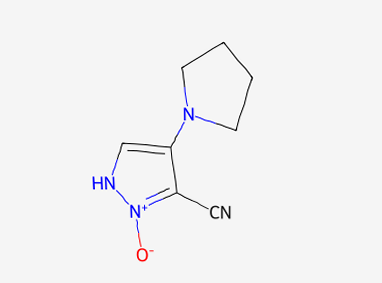 N#Cc1c(N2CCCC2)c[nH][n+]1[O-]